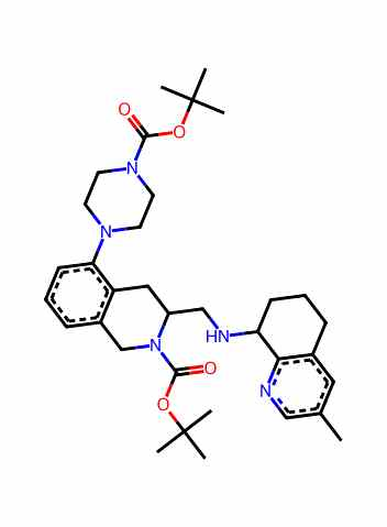 Cc1cnc2c(c1)CCCC2NCC1Cc2c(cccc2N2CCN(C(=O)OC(C)(C)C)CC2)CN1C(=O)OC(C)(C)C